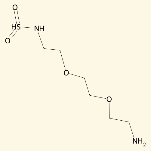 NCCOCCOCCN[SH](=O)=O